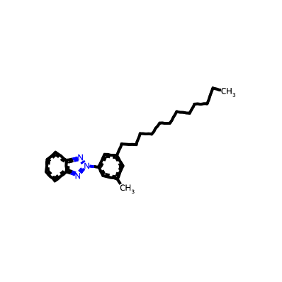 CCCCCCCCCCCCc1cc(C)cc(-n2nc3ccccc3n2)c1